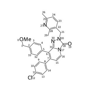 COCc1ccc(-c2c(-c3ccc(Cl)cc3)ccn3c(=O)n(Cc4ccc(C)nc4C)nc23)cc1